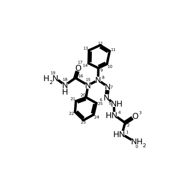 NNC(=O)NNN=NN(c1ccccc1)N(C(=O)NN)c1ccccc1